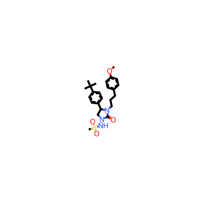 COc1ccc(CCCN2C(=O)N(NS(C)(=O)=O)CC2c2ccc(C(C)(C)C)cc2)cc1